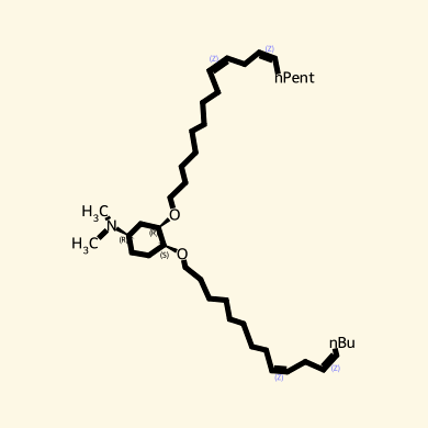 CCCC/C=C\C/C=C\CCCCCCCCO[C@H]1CC[C@@H](N(C)C)C[C@H]1OCCCCCCCC/C=C\C/C=C\CCCCC